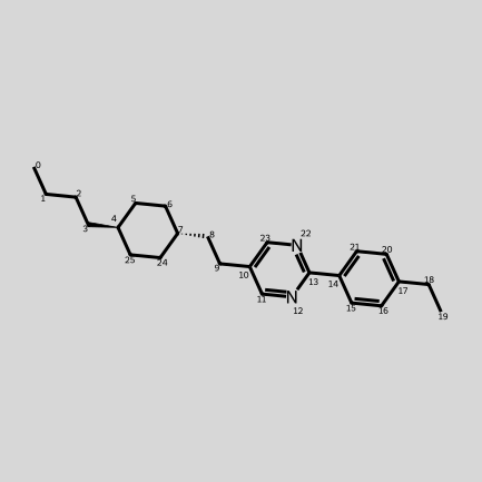 CCCC[C@H]1CC[C@H](CCc2cnc(-c3ccc(CC)cc3)nc2)CC1